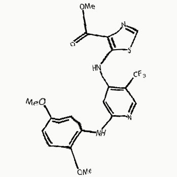 COC(=O)c1ncsc1Nc1cc(Nc2cc(OC)ccc2OC)ncc1C(F)(F)F